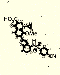 COc1c(-c2cc3c(s2)CCCC3NS(=O)(=O)c2ccc(C#N)cc2)ccc2c(=O)c(C(=O)O)cn(C3CC3)c12